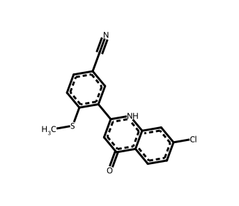 CSc1ccc(C#N)cc1-c1cc(=O)c2ccc(Cl)cc2[nH]1